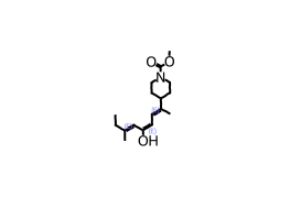 CC/C(C)=C/C(O)=C\C=C(/C)C1CCN(C(=O)OC)CC1